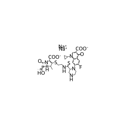 CC1C(SCCNC(=S)C2CNCCN2c2cc3c(cc2F)c(=O)c(C(=O)[O-])cn3C2CC2)=C(C(=O)[O-])N2C(=O)[C@@H]([C@@H](C)O)[C@H]12.[Na+].[Na+]